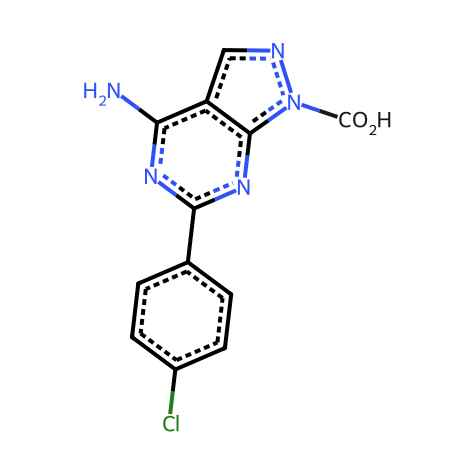 Nc1nc(-c2ccc(Cl)cc2)nc2c1cnn2C(=O)O